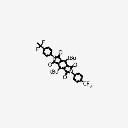 CC(C)(C)c1c2c(=O)n(-c3ccc(C(C)(F)F)cc3)c(=O)c2c(C(C)(C)C)c2c(=O)n(-c3ccc(C(F)(F)F)cc3)c(=O)c12